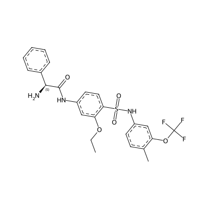 CCOc1cc(NC(=O)[C@@H](N)c2ccccc2)ccc1S(=O)(=O)Nc1ccc(C)c(OC(F)(F)F)c1